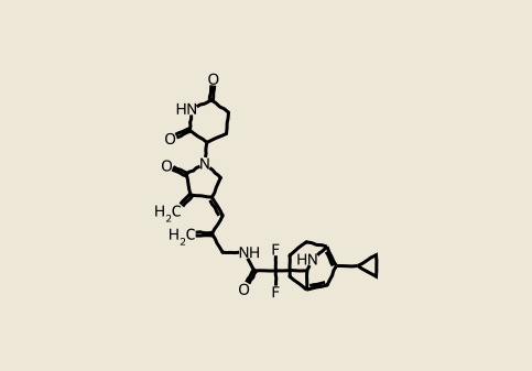 C=C(/C=C1/CN(C2CCC(=O)NC2=O)C(=O)C1=C)CNC(=O)C(F)(F)C1NC2=C(C3CC3)C=C1CCC2